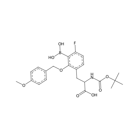 COc1ccc(COc2c(CC(NC(=O)OC(C)(C)C)C(=O)O)ccc(F)c2B(O)O)cc1